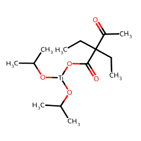 CCC(CC)(C(C)=O)C(=O)[O][Ti]([O]C(C)C)[O]C(C)C